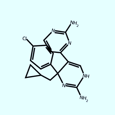 NC1=NC(CC2CC2)(c2ccc(Cl)cc2)C(c2ccnc(N)n2)=CN1